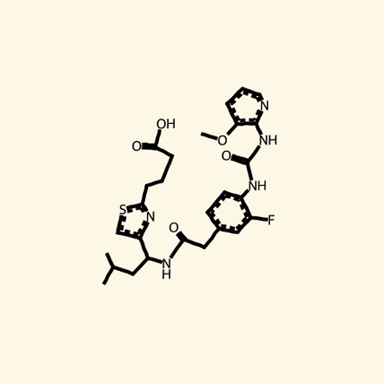 COc1cccnc1NC(=O)Nc1ccc(CC(=O)NC(CC(C)C)c2csc(CCCC(=O)O)n2)cc1F